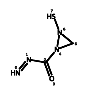 N=NC(=O)N1CN1S